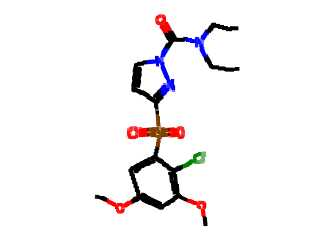 CCN(CC)C(=O)n1ccc(S(=O)(=O)c2cc(OC)cc(OC)c2Cl)n1